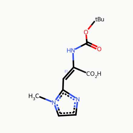 Cn1ccnc1/C=C(/NC(=O)OC(C)(C)C)C(=O)O